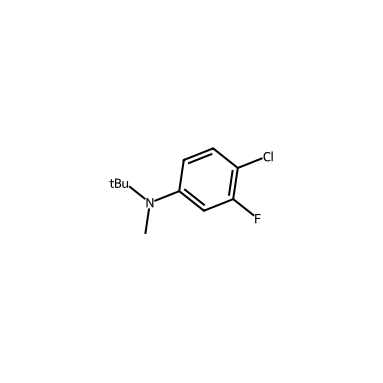 CN(c1ccc(Cl)c(F)c1)C(C)(C)C